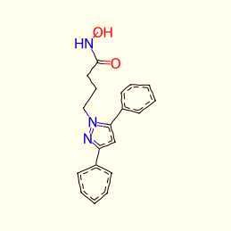 O=C(CCCn1nc(-c2ccccc2)cc1-c1ccccc1)NO